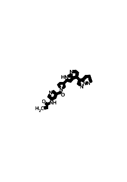 C=CC(=O)Nc1cncc(C(=O)N2CCC(c3cc4c(-c5cnn6ncccc56)ccnc4[nH]3)C2)c1